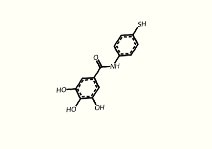 O=C(Nc1ccc(S)cc1)c1cc(O)c(O)c(O)c1